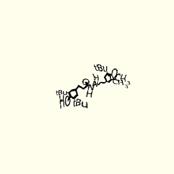 CC(C)(C)c1cc(CCC(=O)NNCCCc2cc(C(C)(C)C)c3c(c2)C(C)(C)O3)cc(C(C)(C)C)c1O